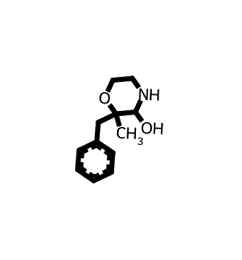 CC1(Cc2ccccc2)OCCNC1O